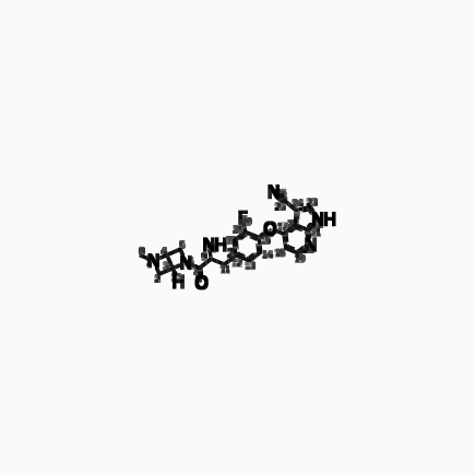 CN1C[C@@H]2C1CN2C(=O)C(N)Cc1ccc(Oc2ccnc3[nH]cc(C#N)c23)c(F)c1